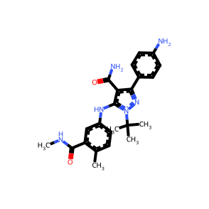 CNC(=O)c1cc(Nc2c(C(N)=O)c(-c3ccc(N)cc3)nn2C(C)(C)C)ccc1C